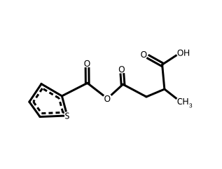 CC(CC(=O)OC(=O)c1cccs1)C(=O)O